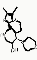 Cc1nc2c3c(ccn2c1C)[C@@H](N1CCOCC1)[C@@H](O)CN3